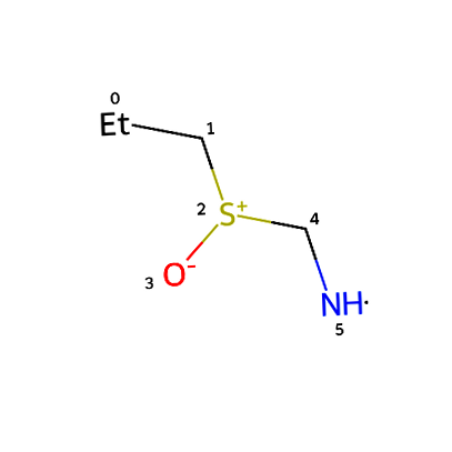 CCC[S+]([O-])C[NH]